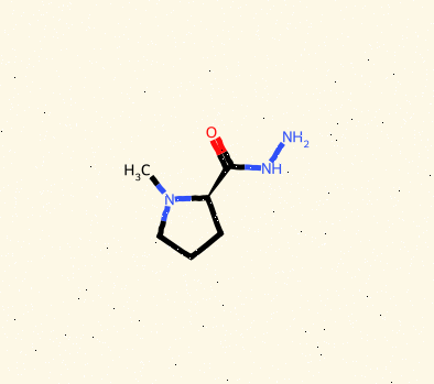 CN1CCC[C@@H]1C(=O)NN